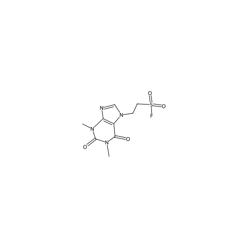 Cn1c(=O)c2c(ncn2CCS(=O)(=O)F)n(C)c1=O